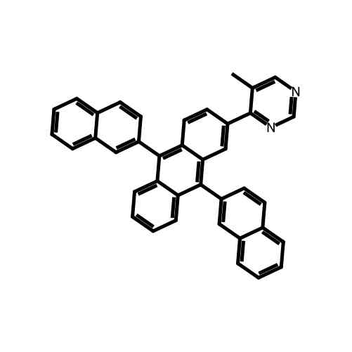 Cc1cncnc1-c1ccc2c(-c3ccc4ccccc4c3)c3ccccc3c(-c3ccc4ccccc4c3)c2c1